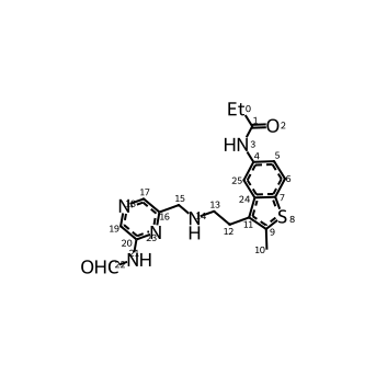 CCC(=O)Nc1ccc2sc(C)c(CCNCc3cncc(NC=O)n3)c2c1